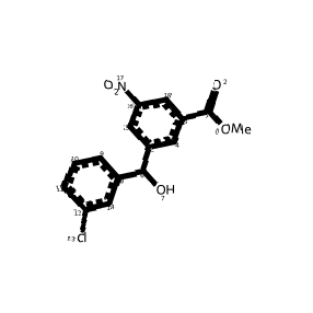 COC(=O)c1cc(C(O)c2cccc(Cl)c2)cc([N+](=O)[O-])c1